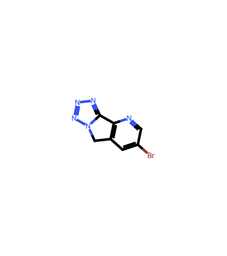 Brc1cnc2c(c1)Cn1nnnc1-2